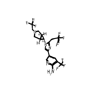 Nc1ncc(-c2cn([C@H]3[C@@H]4CN(CC(F)(F)F)C[C@@H]43)c(CC(F)(F)F)n2)cc1C(F)(F)F